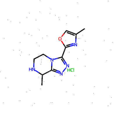 Cc1coc(-c2nnc3n2CCNC3C)n1.Cl